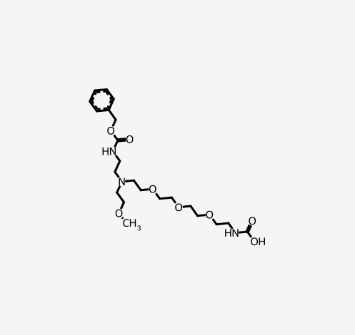 COCCN(CCNC(=O)OCc1ccccc1)CCOCCOCCOCCNC(=O)O